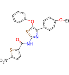 CCOc1ccc(-c2nc(NC(=O)c3ccc([N+](=O)[O-])s3)sc2Oc2ccccc2)cc1